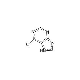 Clc1ncnc2pc[nH]c12